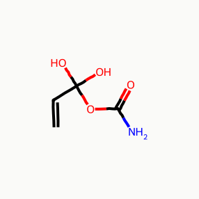 C=CC(O)(O)OC(N)=O